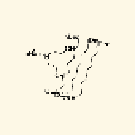 CCCCCCCCCCCCCCCCCC(=O)[O-].CCCCCCCCCCCCCCCCCC(=O)[O-].CCCCCCCCCCCCCCCCCC(=O)[O-].CCCCCCCCCN(CCO)CCO.[Al+3]